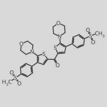 CS(=O)(=O)c1ccc(-c2cc(C(=O)c3cc(-c4ccc(S(C)(=O)=O)cc4)c(N4CCOCC4)s3)sc2N2CCOCC2)cc1